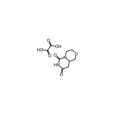 O=C(O)C(=O)O.O=C1CC2COCCN2C(=O)N1